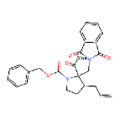 C=CCC1CCN(C(=O)OCc2ccccc2)C1(CN1C(=O)c2ccccc2C1=O)C(=O)OC